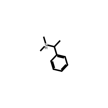 CC(c1ccccc1)[SiH](C)C